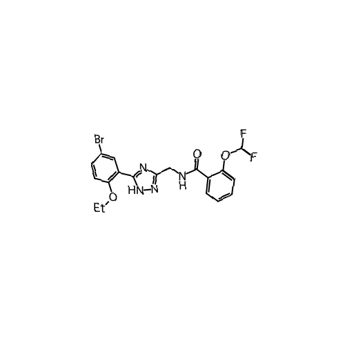 CCOc1ccc(Br)cc1-c1nc(CNC(=O)c2ccccc2OC(F)F)n[nH]1